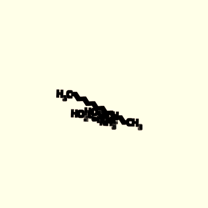 CCCCCCCCCCCC(=O)O.CCCCCCCCCCCCCC.N.O=S(=O)(O)O